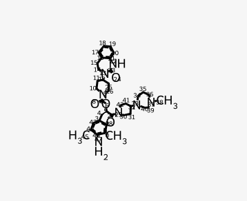 Cc1cc(C[C@@H](OC(=O)N2CCC(N3CCc4ccccc4NC3=O)CC2)C(=O)N2CCC(N3CCCN(C)CC3)CC2)cc(C)c1N